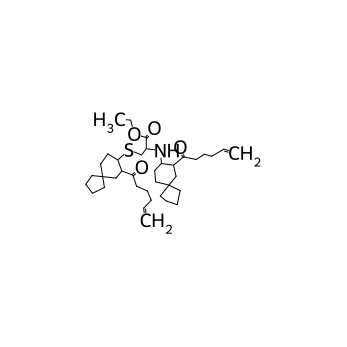 C=CCCCC(=O)C1CC2(CCCC2)CCC1NC(CSC1CCC2(CCCC2)CC1C(=O)CCCC=C)C(=O)OCC